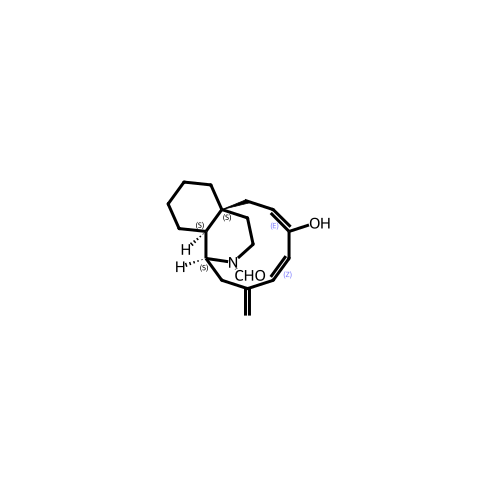 C=C1/C=C\C(O)=C/C[C@]23CCCC[C@@H]2[C@H](C1)N(C=O)CC3